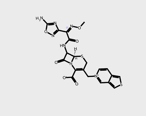 CO/N=C(\C(=O)NC1C(=O)N2C(C(=O)[O-])=C(C[n+]3ccc4cscc4c3)CS[C@H]12)c1noc(N)n1